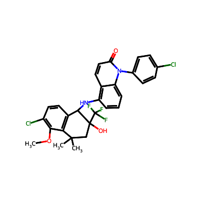 COc1c(Cl)ccc2c1C(C)(C)CC(O)(C(F)(F)F)C2Nc1cccc2c1ccc(=O)n2-c1ccc(Cl)cc1